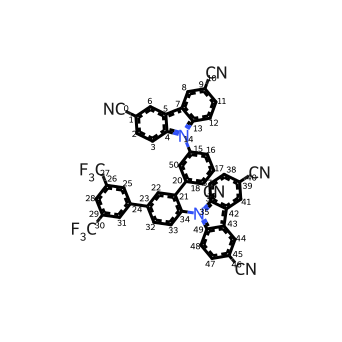 N#Cc1ccc2c(c1)c1cc(C#N)ccc1n2-c1ccc(C#N)c(-c2cc(-c3cc(C(F)(F)F)cc(C(F)(F)F)c3)ccc2-n2c3ccc(C#N)cc3c3cc(C#N)ccc32)c1